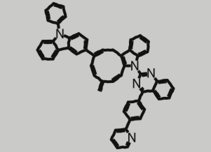 C=C1/C=C\C(c2ccc3c(c2)c2ccccc2n3-c2ccccc2)=C/Cc2c(n(-c3nc(-c4ccc(-c5ccccn5)cc4)c4ccccc4n3)c3ccccc23)/C=C\1